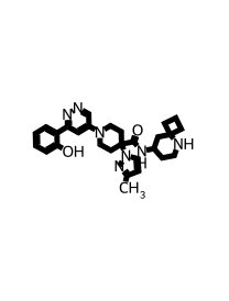 Cc1ccn(C2(C(=O)NC3CCNC4(CCC4)C3)CCN(c3cnnc(-c4ccccc4O)c3)CC2)n1